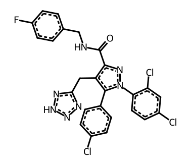 O=C(NCc1ccc(F)cc1)c1nn(-c2ccc(Cl)cc2Cl)c(-c2ccc(Cl)cc2)c1Cc1nn[nH]n1